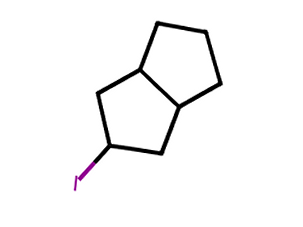 IC1CC2CCCC2C1